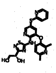 Cc1ccc(Oc2cc(Sc3ccccn3)cnc2Nc2nc([C@H](O)CO)ns2)c(C)n1